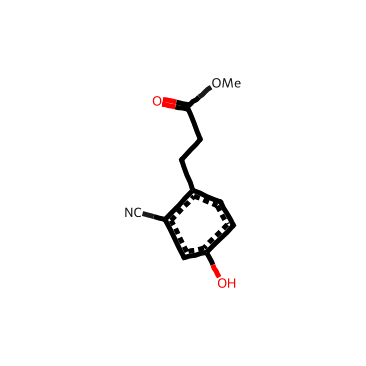 COC(=O)CCc1ccc(O)cc1C#N